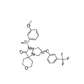 COc1cccc([C@H](C)NC(=O)C2(N3CC[C@@H](Oc4cccc(C(F)(F)F)c4)C3)CCOCC2)c1